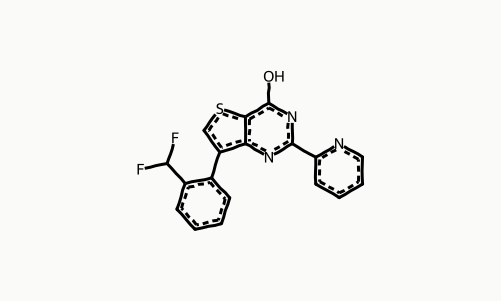 Oc1nc(-c2ccccn2)nc2c(-c3ccccc3C(F)F)csc12